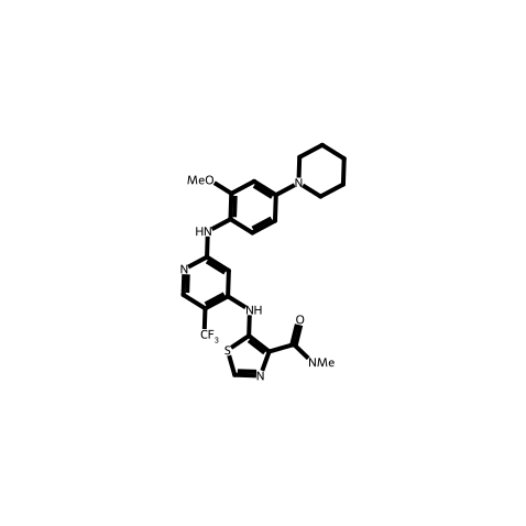 CNC(=O)c1ncsc1Nc1cc(Nc2ccc(N3CCCCC3)cc2OC)ncc1C(F)(F)F